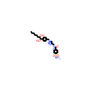 CCCCCC[C@H](O)[C@@H](O)c1ccc(Cn2cc(CNC(=O)c3ccc(S(N)(=O)=O)cc3)nn2)cc1